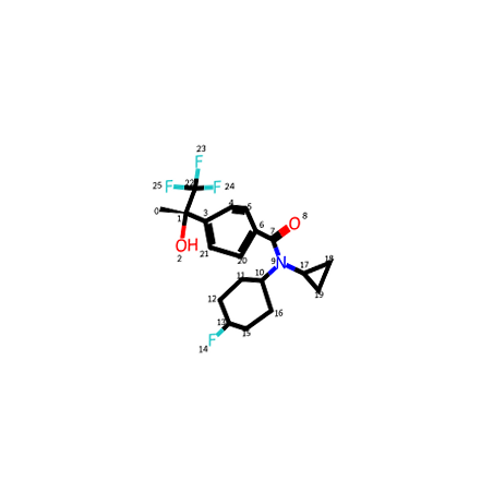 C[C@](O)(c1ccc(C(=O)N(C2CCC(F)CC2)C2CC2)cc1)C(F)(F)F